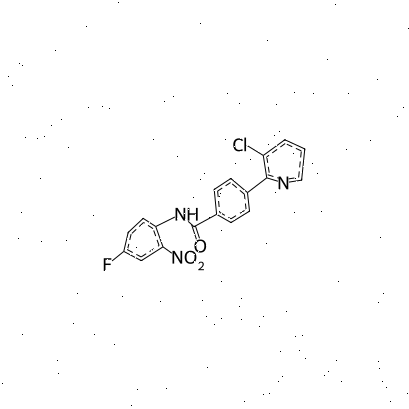 O=C(Nc1ccc(F)cc1[N+](=O)[O-])c1ccc(-c2ncccc2Cl)cc1